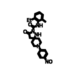 CCc1cccc(C)c1NC(=O)N1NC2(CCN(c3ccc(N=O)cc3)CC2)CC1=O